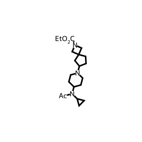 CCOC(=O)N1CC2(CCC(N3CCC(N(C(C)=O)C4CC4)CC3)C2)C1